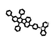 c1ccc(-c2ccc3c(-c4ccccc4)c4c(c(-c5ccccc5)c3c2)-c2cccc3c(-c5ccc(-n6c7ccccc7c7cnccc76)cc5)ccc-4c23)cc1